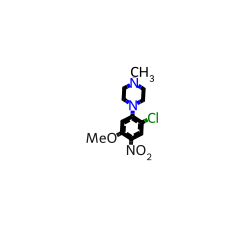 COc1cc(N2CCN(C)CC2)c(Cl)cc1[N+](=O)[O-]